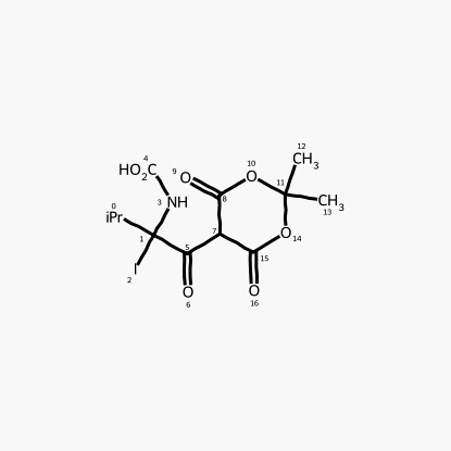 CC(C)C(I)(NC(=O)O)C(=O)C1C(=O)OC(C)(C)OC1=O